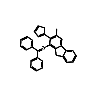 Cc1cc2c([c]([Zr]=[C](c3ccccc3)c3ccccc3)c1C1=CC=CC1)Cc1ccccc1-2